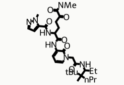 CCCC(C)(C(CC)NC(=O)Cn1cccc(NC(=O)C(CCC(=O)C(=O)NC)NC(=O)c2ccnn2C)c1=O)C(C)(C)C